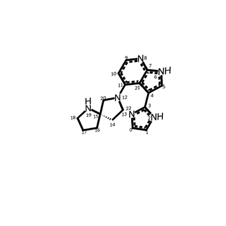 c1c[nH]c(-c2c[nH]c3nccc(N4CC[C@@]5(CCCN5)C4)c23)n1